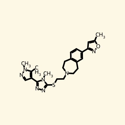 Cc1cc(-c2ccc3c(c2)CCN(CCSc2nnc(-c4cnn(C)c4C)n2C)CC3)no1